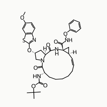 COc1ccc2nc(O[C@@H]3C[C@H]4C(=O)N[C@]5(C(=O)NOc6ccccc6)C[C@H]5/C=C\CCCCC[C@H](NC(=O)OC(C)(C)C)C(=O)N4C3)sc2c1